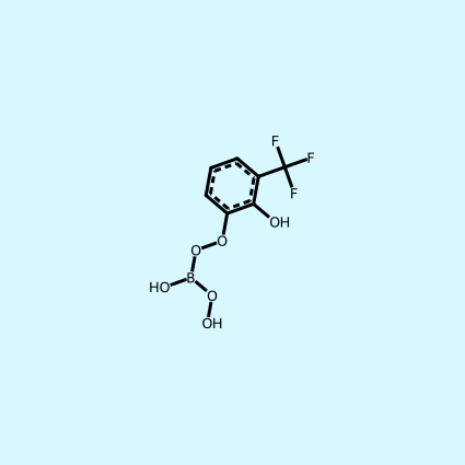 OOB(O)OOc1cccc(C(F)(F)F)c1O